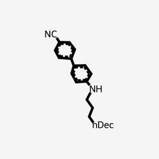 CCCCCCCCCCCCCNc1ccc(-c2ccc(C#N)cc2)cc1